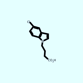 O=C(O)CCCn1ccc2cc(Cl)ccc21